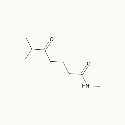 CNC(=O)CCCC(=O)C(C)C